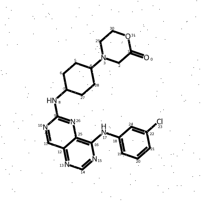 O=C1CN(C2CCC(Nc3ncc4ncnc(Nc5cccc(Cl)c5)c4n3)CC2)CCO1